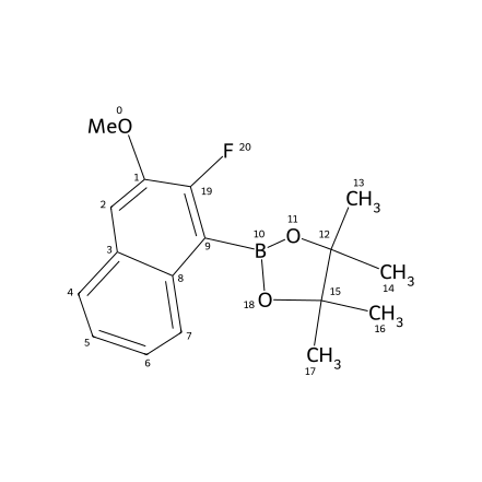 COc1cc2ccccc2c(B2OC(C)(C)C(C)(C)O2)c1F